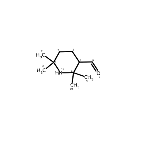 CC1(C)CCC(C=O)C(C)(C)N1